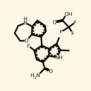 Cc1[nH]c2c(C(N)=O)cc(F)c(-c3cccc4c3OCCCN4)c2c1C.O=C(O)C(F)(F)F